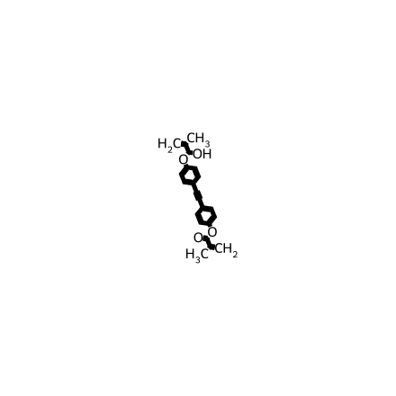 C=C(C)C(=O)Oc1ccc(C#Cc2ccc(OC(O)C(=C)C)cc2)cc1